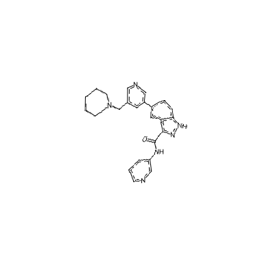 O=C(Nc1cccnc1)c1n[nH]c2ccc(-c3cncc(CN4CCCCC4)c3)cc12